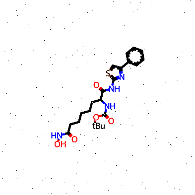 CC(C)(C)OC(=O)NC(CCCCCC(=O)NO)C(=O)Nc1nc(-c2ccccc2)cs1